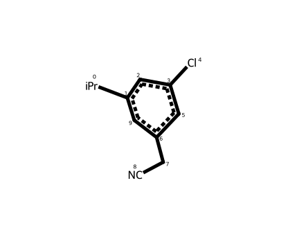 CC(C)c1cc(Cl)cc(CC#N)c1